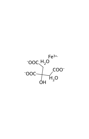 O.O.O=C([O-])CC(O)(CC(=O)[O-])C(=O)[O-].[Fe+3]